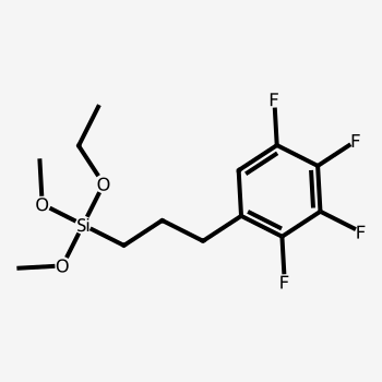 CCO[Si](CCCc1cc(F)c(F)c(F)c1F)(OC)OC